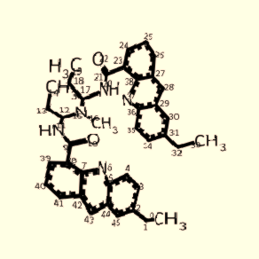 CCc1ccc2nc3c(C(=O)NC(CC)N(C)C(CC)NC(=O)c4cccc5cc6cc(CC)ccc6nc45)cccc3cc2c1